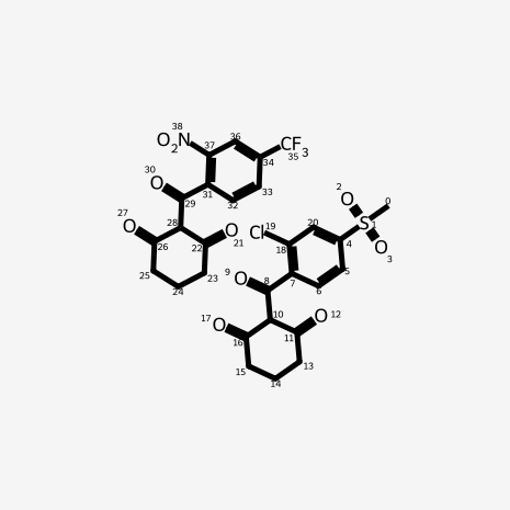 CS(=O)(=O)c1ccc(C(=O)C2C(=O)CCCC2=O)c(Cl)c1.O=C1CCCC(=O)C1C(=O)c1ccc(C(F)(F)F)cc1[N+](=O)[O-]